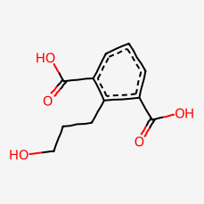 O=C(O)c1cccc(C(=O)O)c1CCCO